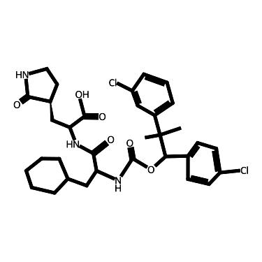 CC(C)(c1cccc(Cl)c1)C(OC(=O)NC(CC1CCCCC1)C(=O)NC(C[C@@H]1CCNC1=O)C(=O)O)c1ccc(Cl)cc1